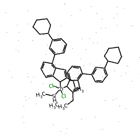 CCC1=Cc2c(-c3cccc(C4CCCCC4)c3)cccc2[CH]1[Zr]([Cl])([Cl])([CH]1C(CC)=Cc2c(-c3cccc(C4CCCCC4)c3)cccc21)[SiH](C)C